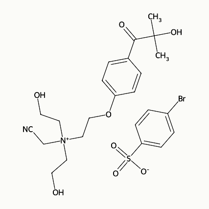 CC(C)(O)C(=O)c1ccc(OCC[N+](CC#N)(CCO)CCO)cc1.O=S(=O)([O-])c1ccc(Br)cc1